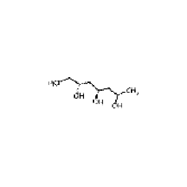 CC(O)C[C@@H](O)C[C@H](O)CO